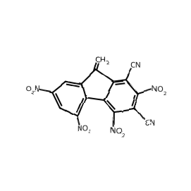 C=C1c2cc([N+](=O)[O-])cc([N+](=O)[O-])c2-c2c1c(C#N)c([N+](=O)[O-])c(C#N)c2[N+](=O)[O-]